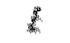 Cc1nnc(NC(=O)c2cnc(C(C)NC(=O)c3cc(-c4cccnc4F)ncn3)s2)cc1C(C)(C)C